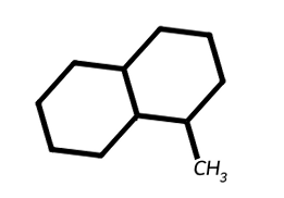 CC1CCCC2CCCC[C]12